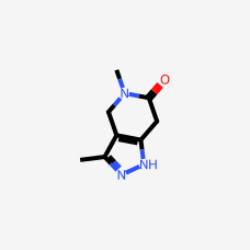 Cc1n[nH]c2c1CN(C)C(=O)C2